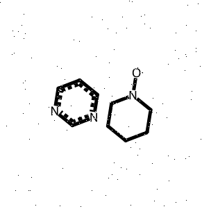 [O]N1CCCCC1.c1cncnc1